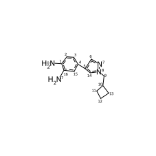 Nc1ccc(-c2cnn(CC3CCC3)c2)cc1N